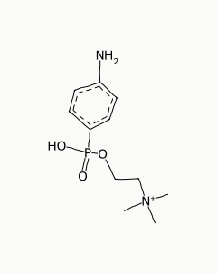 C[N+](C)(C)CCOP(=O)(O)c1ccc(N)cc1